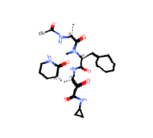 C[C@@H](NC(=O)C(C)(C)C)C(=O)N(C)[C@@H](CC1CCCCC1)C(=O)N[C@@H](C[C@@H]1CCCNC1=O)C(=O)C(=O)NC1CC1